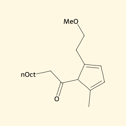 CCCCCCCCCC(=O)C1C(C)=CC=C1CCOC